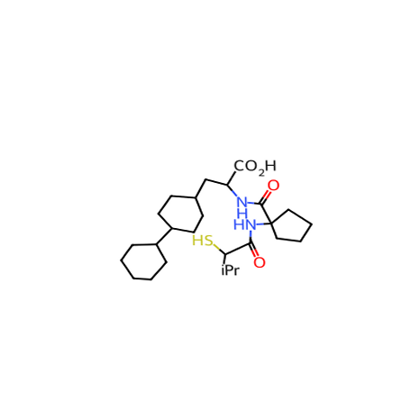 CC(C)C(S)C(=O)NC1(C(=O)NC(CC2CCC(C3CCCCC3)CC2)C(=O)O)CCCC1